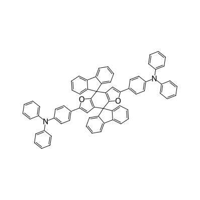 c1ccc(N(c2ccccc2)c2ccc(-c3cc4c(o3)C3(c5ccccc5-c5ccccc53)c3cc(-c5ccc(N(c6ccccc6)c6ccccc6)cc5)oc3C43c4ccccc4-c4ccccc43)cc2)cc1